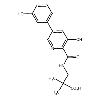 CC(C)(CNC(=O)c1ncc(-c2cccc(O)c2)cc1O)C(=O)O